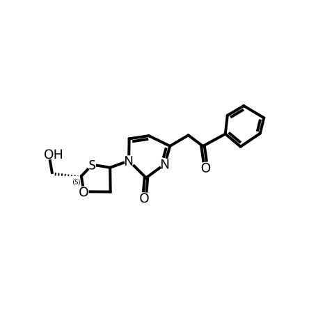 O=C(Cc1ccn(C2CO[C@H](CO)S2)c(=O)n1)c1ccccc1